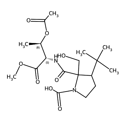 COC(=O)[C@@H](NC(=O)C1(CO)C(C(C)(C)C)CCN1C(=O)O)[C@@H](C)OC(C)=O